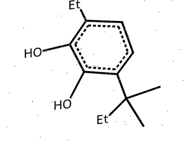 CCc1ccc(C(C)(C)CC)c(O)c1O